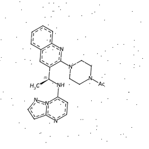 CC(=O)N1CCN(c2nc3ccccc3cc2[C@H](C)Nc2ccnc3ccnn23)CC1